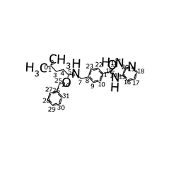 CC(C)CCC(NCc1ccc(C(=O)Nc2cccnc2N)cc1)OCc1ccccc1